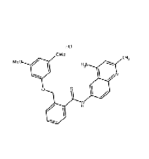 COc1cc(OC)cc(OCc2ccccc2C(=O)Nc2ccc3nc(C)cc(N)c3c2)c1.Cl